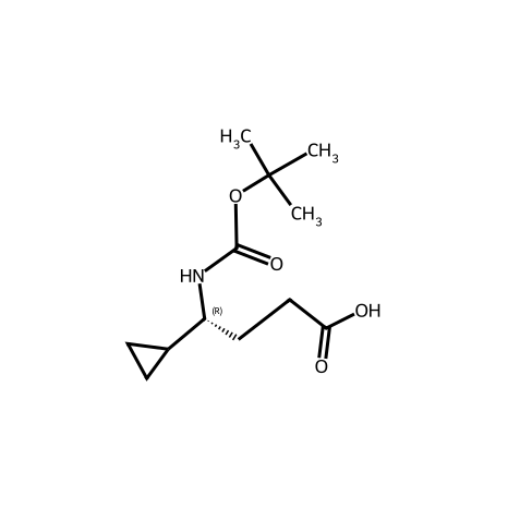 CC(C)(C)OC(=O)N[C@H](CCC(=O)O)C1CC1